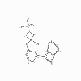 CCS(=O)(=O)N1CC(C#N)(Nc2ccnc(-c3c[nH]c4ncccc34)n2)C1